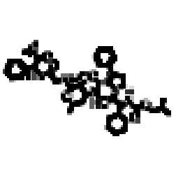 CCCC(NC(=O)[C@@H]1[C@@H](c2ccccc2)CCN1C(=O)[C@@H](NC(=O)OCC(C)C)C1CCCCC1)C(=O)C(=O)NCC(=O)N[C@H](C(=O)N(C)C)c1ccccc1